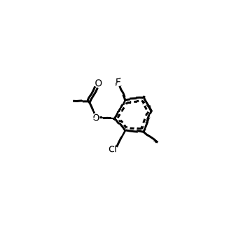 CC(=O)Oc1c(F)ccc(C)c1Cl